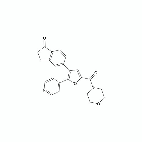 O=C1CCc2cc(-c3cc(C(=O)N4CCOCC4)oc3-c3ccncc3)ccc21